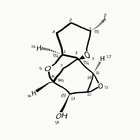 C[C@H]1CC[C@@H]2O[C@@H]3C[C@@]2(O1)[C@H]1OC1[C@H]3O